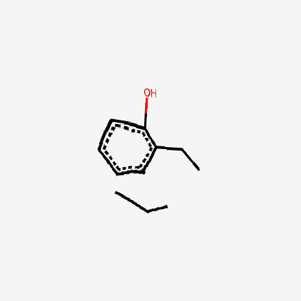 CCC.CCc1ccccc1O